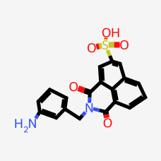 Nc1cccc(CN2C(=O)c3cccc4cc(S(=O)(=O)O)cc(c34)C2=O)c1